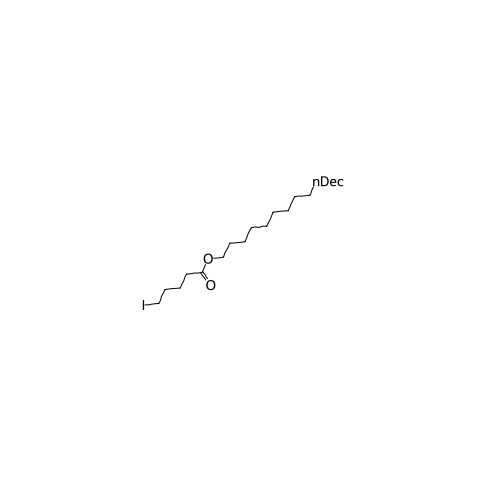 CCCCCCCCCCCCCCCCCCCOC(=O)CCCCI